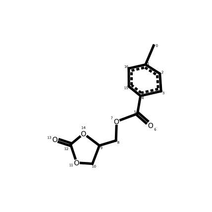 Cc1ccc(C(=O)OCC2COC(=O)O2)cc1